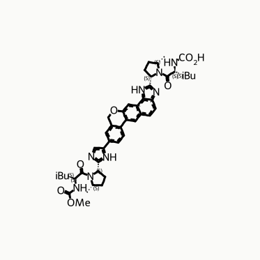 CC[C@H](C)[C@H](NC(=O)OC)C(=O)N1[C@@H](C)CC[C@H]1c1ncc(-c2ccc3c(c2)COc2cc4c(ccc5nc([C@@H]6CC[C@H](C)N6C(=O)[C@@H](NC(=O)O)[C@@H](C)CC)[nH]c54)cc2-3)[nH]1